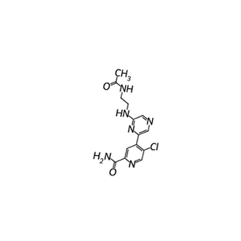 CC(=O)NCCNc1cncc(-c2cc(C(N)=O)ncc2Cl)n1